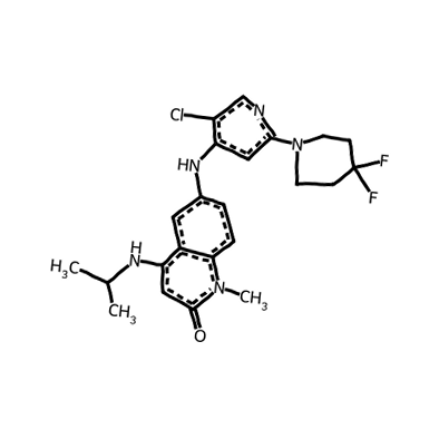 CC(C)Nc1cc(=O)n(C)c2ccc(Nc3cc(N4CCC(F)(F)CC4)ncc3Cl)cc12